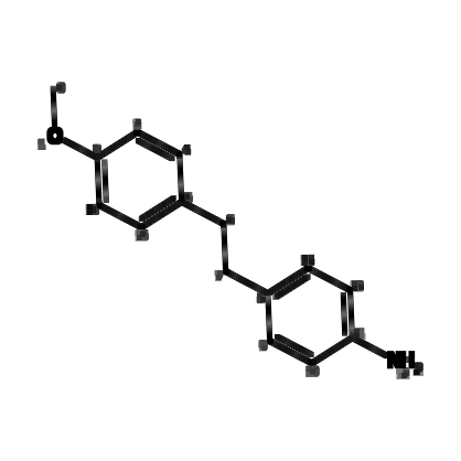 COc1ccc(CCc2ccc(N)cc2)cc1